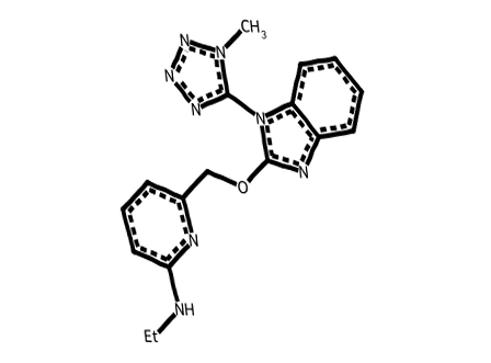 CCNc1cccc(COc2nc3ccccc3n2-c2nnnn2C)n1